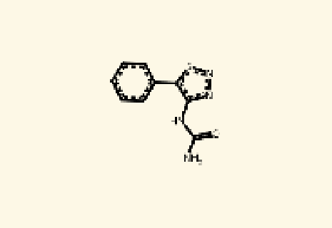 NC(=O)Nc1nnsc1-c1ccccc1